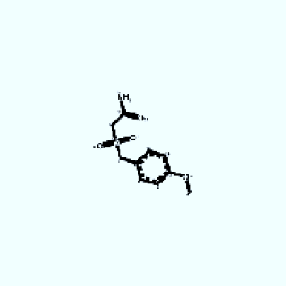 COc1ccc(CS(=O)(=O)CC(N)=O)cc1